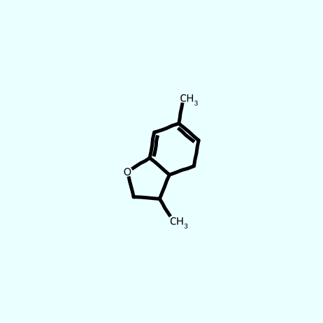 CC1=CCC2C(=C1)OCC2C